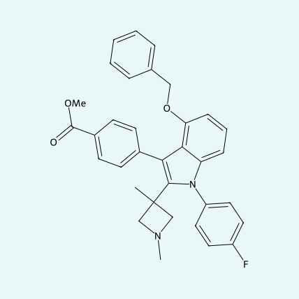 COC(=O)c1ccc(-c2c(C3(C)CN(C)C3)n(-c3ccc(F)cc3)c3cccc(OCc4ccccc4)c23)cc1